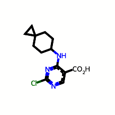 O=C(O)c1cnc(Cl)nc1NC1CCC2(CC1)CC2